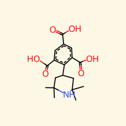 CC1(C)CC(c2c(C(=O)O)cc(C(=O)O)cc2C(=O)O)CC(C)(C)N1